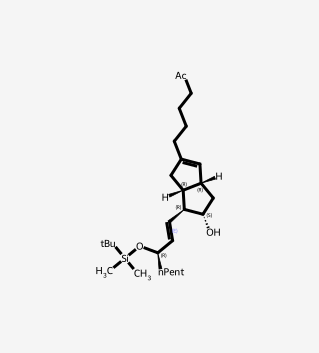 CCCCC[C@H](/C=C/[C@H]1[C@@H]2CC(CCCCC(C)=O)=C[C@@H]2C[C@@H]1O)O[Si](C)(C)C(C)(C)C